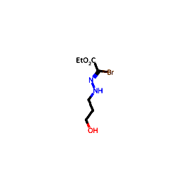 CCOC(=O)C(Br)=NNCCCO